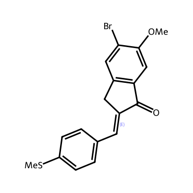 COc1cc2c(cc1Br)C/C(=C\c1ccc(SC)cc1)C2=O